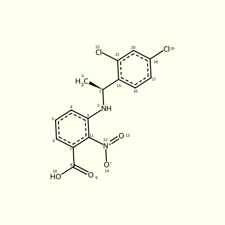 C[C@H](Nc1cccc(C(=O)O)c1[N+](=O)[O-])c1ccc(Cl)cc1Cl